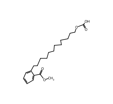 COC(=O)c1ccccc1CCCCCCCCCCCCOC(=O)O